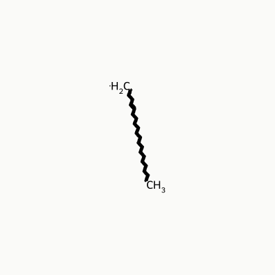 [CH2]CCCC=CCCCCCCCCCCCCCCCC